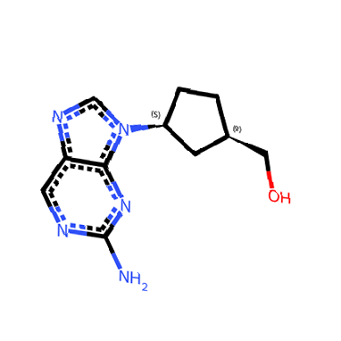 Nc1ncc2ncn([C@H]3CC[C@@H](CO)C3)c2n1